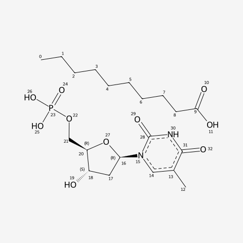 CCCCCCCCCC(=O)O.Cc1cn([C@H]2C[C@H](O)[C@@H](COP(=O)(O)O)O2)c(=O)[nH]c1=O